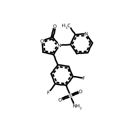 Cc1ncccc1-n1c(-c2cc(F)c(S(N)(=O)=O)c(F)c2)coc1=O